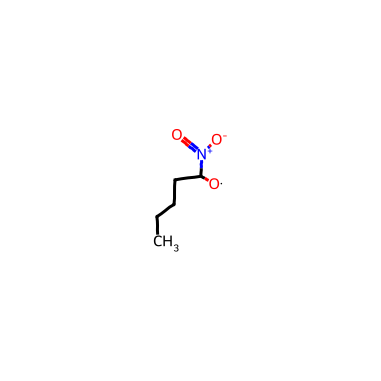 CCCCC([O])[N+](=O)[O-]